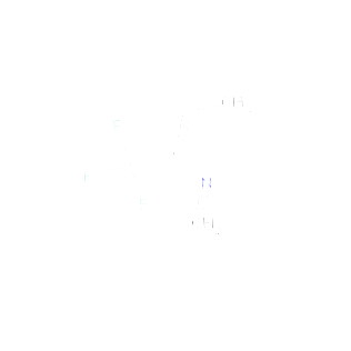 C=N/C(=C\C)C(F)(F)F